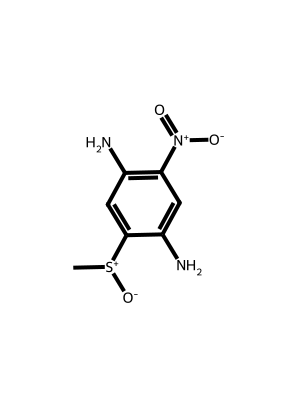 C[S+]([O-])c1cc(N)c([N+](=O)[O-])cc1N